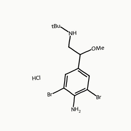 COC(CNC(C)(C)C)c1cc(Br)c(N)c(Br)c1.Cl